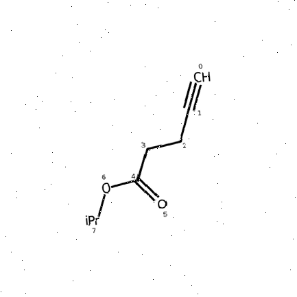 C#CCCC(=O)OC(C)C